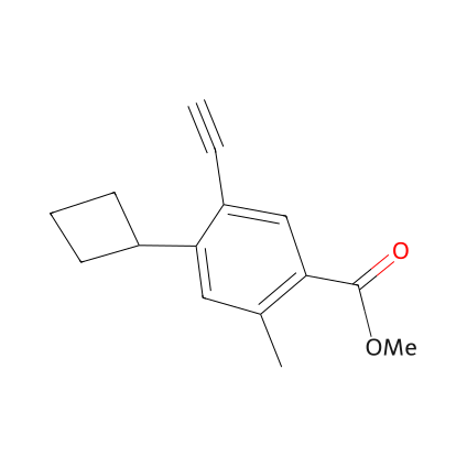 C#Cc1cc(C(=O)OC)c(C)cc1C1CCC1